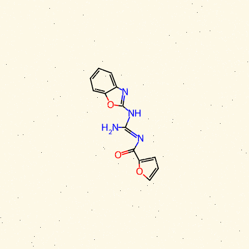 N/C(=N\C(=O)c1ccco1)Nc1nc2ccccc2o1